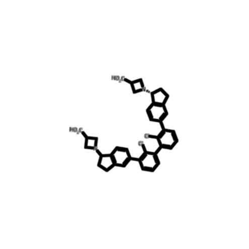 O=C(O)C1CN(C2CCc3cc(-c4cccc(-c5cccc(-c6ccc7c(c6)CC[C@H]7N6CC(C(=O)O)C6)c5Cl)c4Cl)ccc32)C1